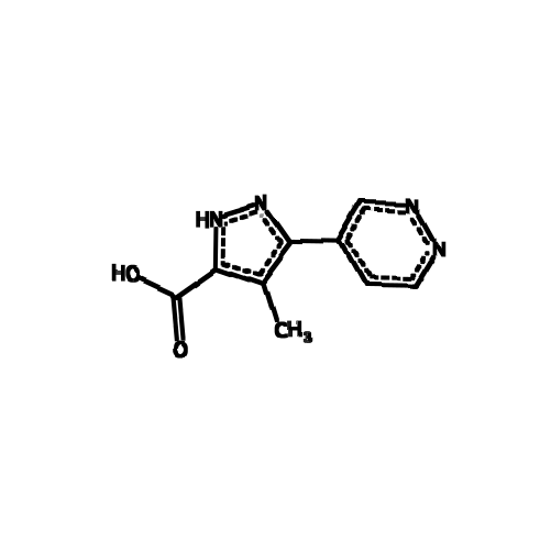 Cc1c(-c2ccnnc2)n[nH]c1C(=O)O